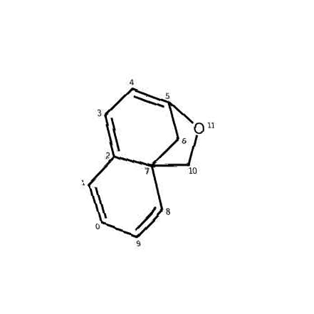 C1=CC2=CC=C3CC2(C=C1)CO3